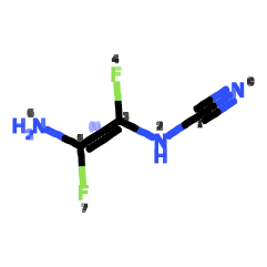 N#CN/C(F)=C(/N)F